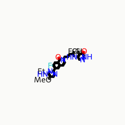 CCNc1nc(-c2cc3ccn(CCCC(C)Nc4cn[nH]c(=O)c4C(F)(F)F)c(=O)c3cc2F)ncc1OC